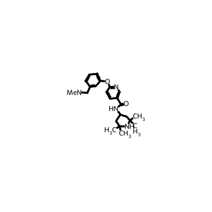 CNCc1cccc(Oc2ccc(C(=O)NC3CC(C)(C)NC(C)(C)C3)cn2)c1